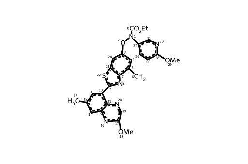 CCOC(=O)N(Oc1cc(C)c2nc(-c3cc(C)cc4nc(OC)cnc34)sc2c1)c1ccc(OC)nc1